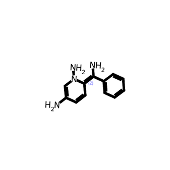 NC1=CN(N)/C(=C(\N)c2ccccc2)C=C1